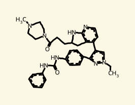 CCn1cc(-c2ccnc3c2CC(CCC(=O)N2CCN(C)CC2)N3)c(-c2ccc(NC(=O)Nc3ccccc3)cc2)n1